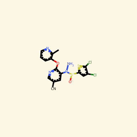 Cc1ncccc1Oc1ncc(C#N)cc1N(N)[S+]([O-])c1cc(Cl)c(Cl)s1